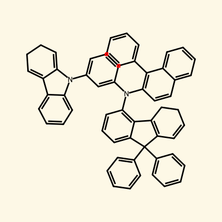 C1=CC2=C(CC1)c1c(N(c3cccc(-n4c5c(c6ccccc64)=CCCC=5)c3)c3ccc4ccccc4c3-c3ccccc3)cccc1C2(c1ccccc1)c1ccccc1